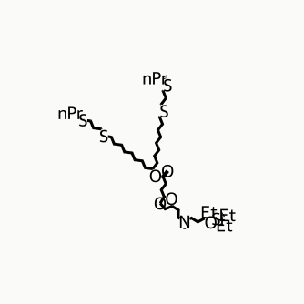 CCCSCCCSCCCCCCCCC(CCCCCCCCSCCCSCCC)OC(=O)CCC1OCC(CCN(C)CCCO[Si](CC)(CC)CC)O1